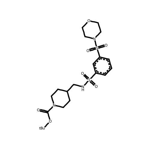 CC(C)(C)OC(=O)N1CCC(CNS(=O)(=O)c2cccc(S(=O)(=O)N3CCOCC3)c2)CC1